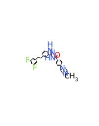 CN1CCN(c2ccc(C(=O)Nc3n[nH]c4ccc(CCc5cc(F)cc(F)c5)cc34)cc2)CC1